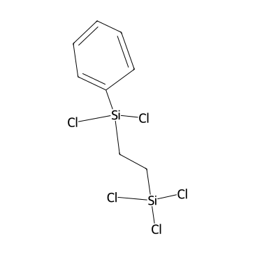 Cl[Si](Cl)(Cl)CC[Si](Cl)(Cl)c1ccccc1